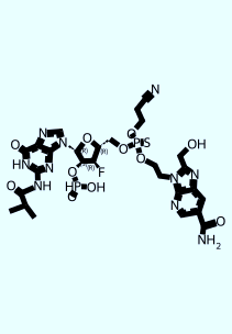 CC(C)C(=O)Nc1nc2c(ncn2[C@@H]2O[C@H](COP(=S)(OCCC#N)OCCn3c(CO)nc4cc(C(N)=O)cnc43)[C@@H](F)[C@H]2O[PH](=O)O)c(=O)[nH]1